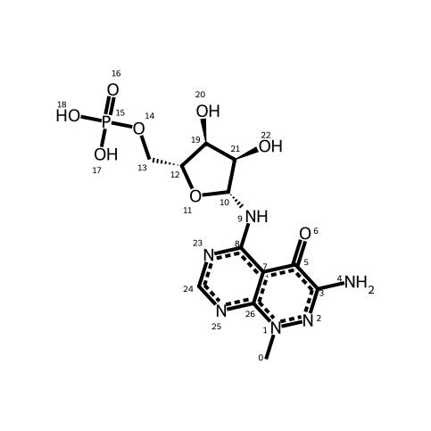 Cn1nc(N)c(=O)c2c(N[C@@H]3O[C@H](COP(=O)(O)O)[C@@H](O)[C@H]3O)ncnc21